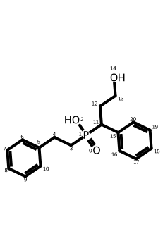 O=P(O)(CCc1ccccc1)C(CCO)c1ccccc1